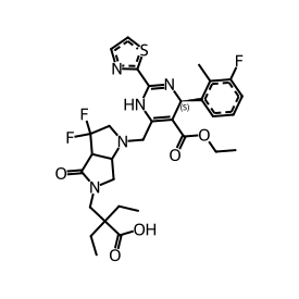 CCOC(=O)C1=C(CN2CC(F)(F)C3C(=O)N(CC(CC)(CC)C(=O)O)CC32)NC(c2nccs2)=N[C@H]1c1cccc(F)c1C